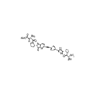 CC[C@H](C)[C@H](N)C(=O)N1CCC[C@H]1c1ncc(-c2ccc(C#Cc3ccc4nc([C@@H]5CCCN5C(=O)[C@@H](NC(=O)OC)[C@@H](C)CC)[nH]c4n3)cc2)[nH]1